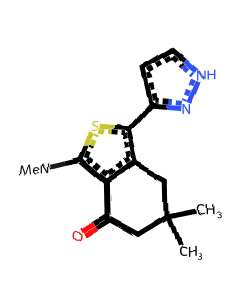 CNc1sc(-c2cc[nH]n2)c2c1C(=O)CC(C)(C)C2